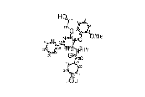 COc1ccccc1Oc1c(OCCO)nc(-c2ncccn2)nc1N(C(C)C)S(=O)(=O)c1ccc(C(C)(C)C)cc1